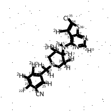 [2H]c1nc(N([2H])C2([2H])C([2H])([2H])CN(C([2H])([2H])c3c([2H])c([2H])c(F)c(C#N)c3[2H])CC2([2H])[2H])c2c([2H])c(Cl)sc2n1